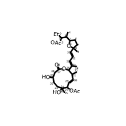 CCC(OC(C)=O)C(C)C1CCC(C)(/C=C/C=C(\C)C2OC(=O)CC(O)CCC(C)(O)C(OC(C)=O)/C=C/C2C)O1